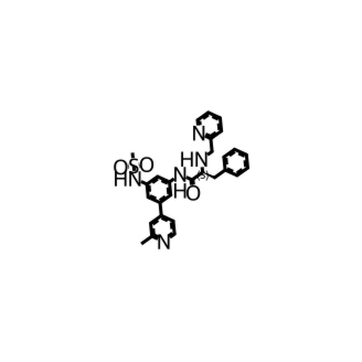 Cc1cc(-c2cc(NC(=O)[C@H](Cc3ccccc3)NCc3ccccn3)cc(NS(C)(=O)=O)c2)ccn1